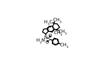 Cc1ccc(S(=O)(=O)N(N)C2CCc3cc4c(cc32)C(C)(C)CCC4(C)C)cc1